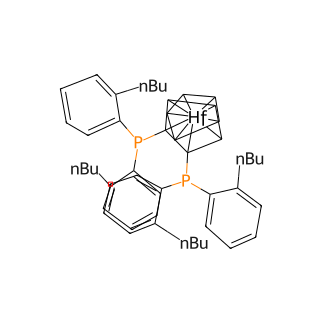 CCCCc1ccccc1P(c1ccccc1CCCC)[C]12[CH]3[CH]4[CH]5[C]1(P(c1ccccc1CCCC)c1ccccc1CCCC)[Hf]43521678[CH]2[CH]1[CH]6[CH]7[CH]28